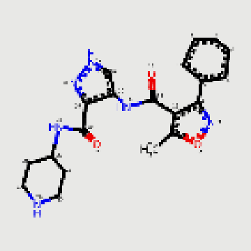 Cc1onc(-c2ccccc2)c1C(=O)Nc1c[nH]nc1C(=O)NC1CCNCC1